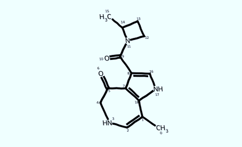 CC1=CNCC(=O)c2c(C(=O)N3CCC3C)c[nH]c21